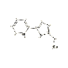 CC(C)(C)Cc1ccc(-c2ccccn2)s1